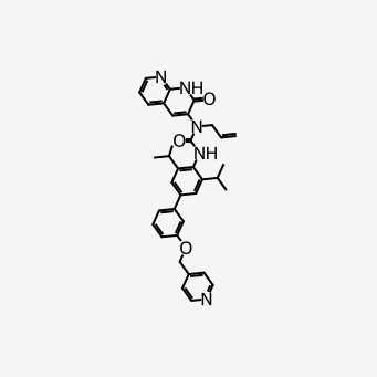 C=CCN(C(=O)Nc1c(C(C)C)cc(-c2cccc(OCc3ccncc3)c2)cc1C(C)C)c1cc2cccnc2[nH]c1=O